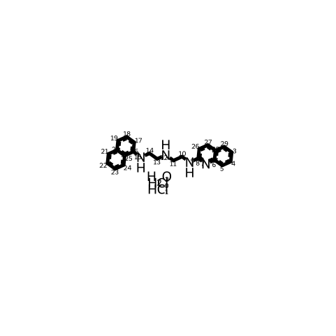 Cl.Cl.O.c1ccc2nc(NCCNCCNc3cccc4ccccc34)ccc2c1